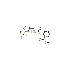 O=C(NCc1cccc(C(F)(F)F)c1)Nc1ccccc1C(=O)O